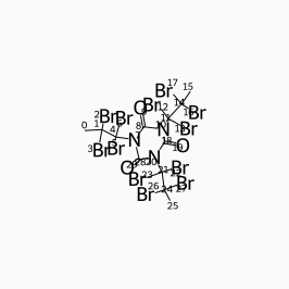 CC(Br)(Br)C(Br)(Br)n1c(=O)n(C(Br)(Br)C(C)(Br)Br)c(=O)n(C(Br)(Br)C(C)(Br)Br)c1=O